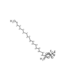 CCCCCCCCCCCCCCCCCCC[Si](C)(C)OS(=O)(=O)C(F)(F)F